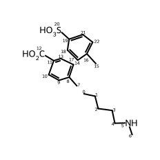 CCCCCNC.Cc1ccc(C(=O)O)cc1.Cc1ccc(S(=O)(=O)O)cc1